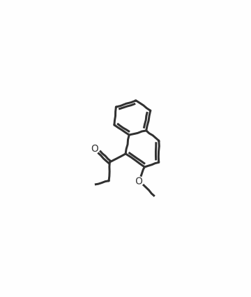 CCC(=O)c1c(OC)ccc2ccccc12